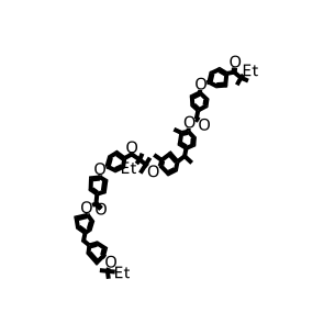 CCC(C)(C)Oc1ccc(Cc2ccc(OC(=O)c3ccc(Oc4ccc(C(=O)C(C)(CC)C(C)(C)Oc5ccc(C(C)c6ccc(OC(=O)c7ccc(Oc8ccc(C(=O)C(C)(C)CC)cc8)cc7)c(C)c6)cc5C)cc4)cc3)cc2)cc1